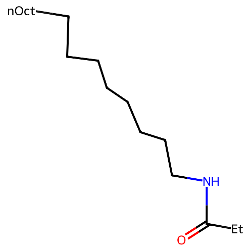 CCCCCCCCCCCCCCCCNC(=O)CC